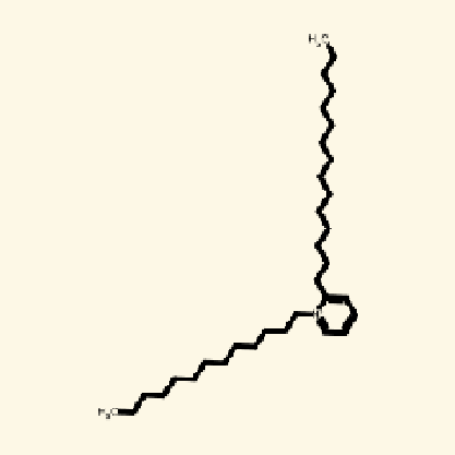 CCCCCCCCCCCCCCCc1cccc[n+]1CCCCCCCCCCCCC